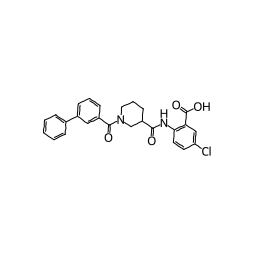 O=C(O)c1cc(Cl)ccc1NC(=O)C1CCCN(C(=O)c2cccc(-c3ccccc3)c2)C1